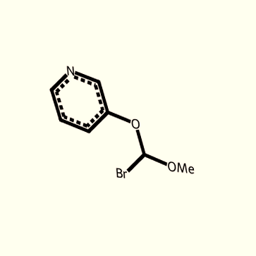 COC(Br)Oc1cccnc1